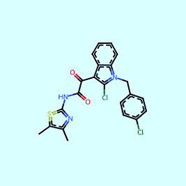 Cc1nc(NC(=O)C(=O)c2c(Cl)n(Cc3ccc(Cl)cc3)c3ccccc23)sc1C